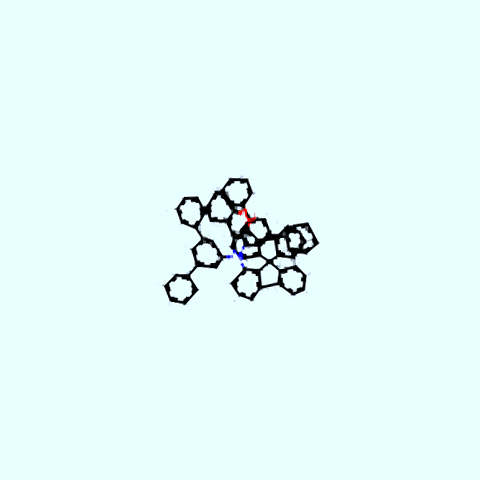 c1ccc(-c2cc(-c3ccccc3)cc(N(c3cc(-c4ccccc4)cc(-c4ccccc4)c3)c3cccc4c3C3(c5ccccc5-4)c4ccccc4-c4c3ccc3c4oc4ccccc43)c2)cc1